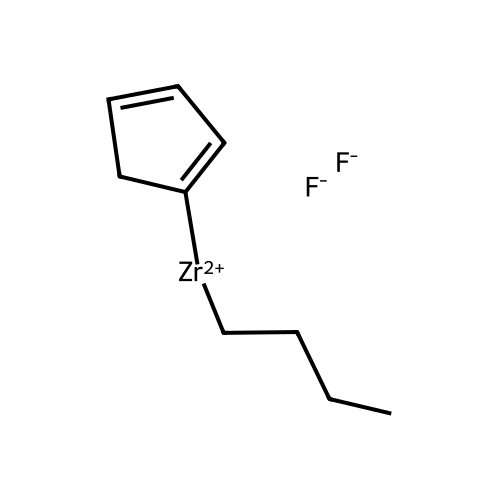 CCC[CH2][Zr+2][C]1=CC=CC1.[F-].[F-]